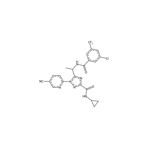 CC(NC(=O)c1cc(Cl)cc(C(F)(F)F)c1)c1nc(C(=O)NC2CC2)nn1-c1ccc(C#N)cn1